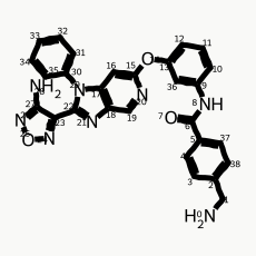 NCc1ccc(C(=O)Nc2cccc(Oc3cc4c(cn3)nc(-c3nonc3N)n4-c3ccccc3)c2)cc1